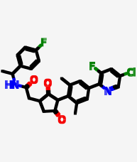 Cc1cc(-c2ncc(Cl)cc2F)cc(C)c1C1C(=O)CC(CC(=O)NC(C)c2ccc(F)cc2)C1=O